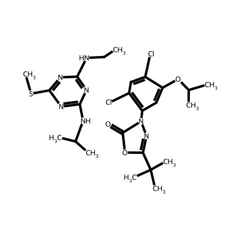 CC(C)Oc1cc(-n2nc(C(C)(C)C)oc2=O)c(Cl)cc1Cl.CCNc1nc(NC(C)C)nc(SC)n1